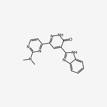 CN(C)c1nccc(-c2cc(-c3nc4ccccc4[nH]3)c(=O)[nH]n2)n1